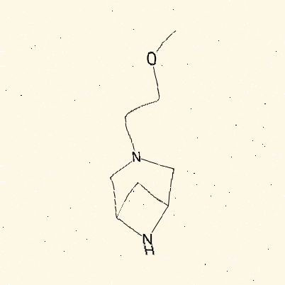 COCCN1CC2CC(C1)N2